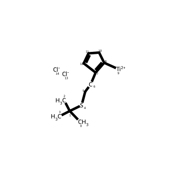 CC(C)(C)SCCC1=[C]([Ti+2])CC=C1.[Cl-].[Cl-]